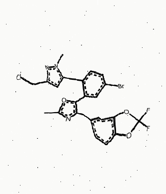 Cc1nc(-c2ccc3c(c2)OC(F)(F)O3)c(-c2cc(Br)ccc2-c2cc(CCl)nn2C)o1